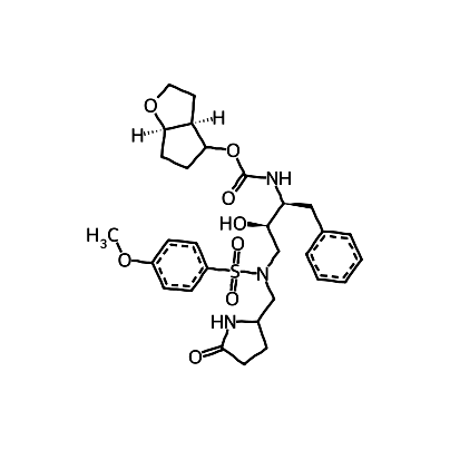 COc1ccc(S(=O)(=O)N(CC2CCC(=O)N2)C[C@@H](O)[C@H](Cc2ccccc2)NC(=O)OC2CC[C@H]3OCC[C@@H]23)cc1